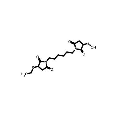 CCSC1CC(=O)N(CCCCCCN2C(=O)CC(SO)C2=O)C1=O